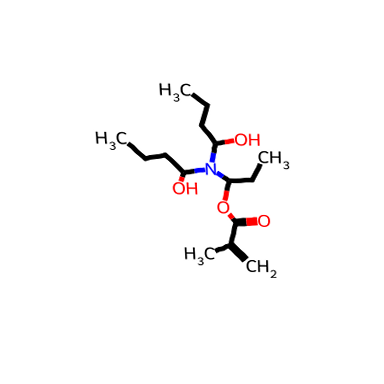 C=C(C)C(=O)OC(CC)N(C(O)CCC)C(O)CCC